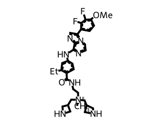 CCc1cc(Nc2nccn3c(-c4ccc(OC)c(F)c4F)cnc23)ccc1C(=O)NCC[N+](C)(CC1CNC1)CC1CNC1